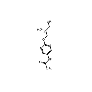 CC(=O)Nc1cnc(OC[C@H](O)CO)nc1